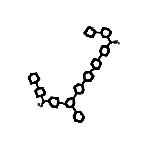 CN(c1ccc(-c2ccccc2)cc1)c1ccc(-c2cc(-c3ccccc3)cc(-c3ccc(-c4ccc(-c5ccc(-c6ccc(N(C)c7cccc(-c8ccccc8)c7)cc6)cc5)cc4)cc3)c2)cc1